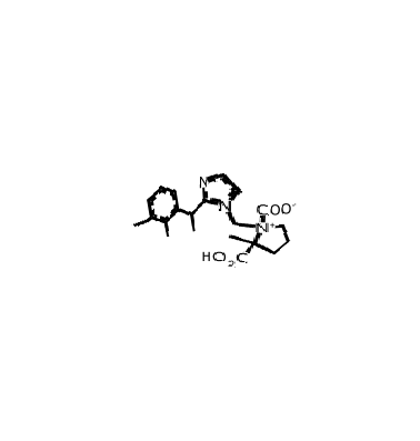 Cc1cccc(C(C)c2nccn2C[N+]2(C(=O)[O-])CCC[C@@]2(C)C(=O)O)c1C